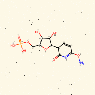 NOC1=NC(=O)C([C@H]2OC(COP(=O)(O)O)C(O)C2O)C=C1